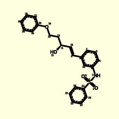 O=S(=O)(Nc1cccc(/C=C/[C@@H](O)CCOc2[c]cccc2)c1)c1ccccc1